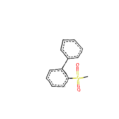 CS(=O)(=O)c1[c]cccc1-c1ccccc1